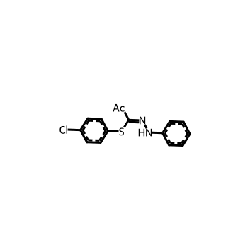 CC(=O)C(=NNc1ccccc1)Sc1ccc(Cl)cc1